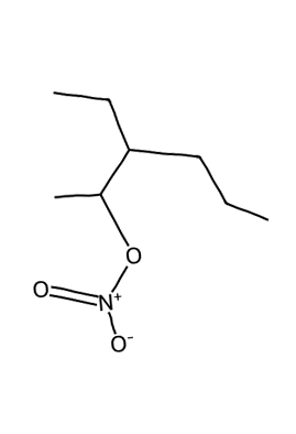 CCCC(CC)C(C)O[N+](=O)[O-]